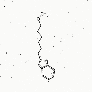 [CH2]OCCCCCCc1cc2ccccc2s1